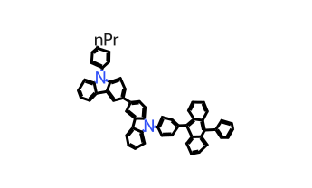 CCCc1ccc(-n2c3ccccc3c3cc(-c4ccc5c(c4)c4ccccc4n5-c4ccc(-c5c6ccccc6c(-c6ccccc6)c6ccccc56)cc4)ccc32)cc1